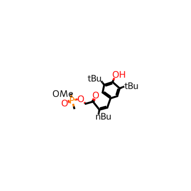 CCCCC(=Cc1cc(C(C)(C)C)c(O)c(C(C)(C)C)c1)C(=O)COP(C)(=O)OC